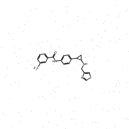 O=C(Nc1ccc(C2CC2NCc2cscn2)cc1)c1cccc(C(F)(F)F)c1